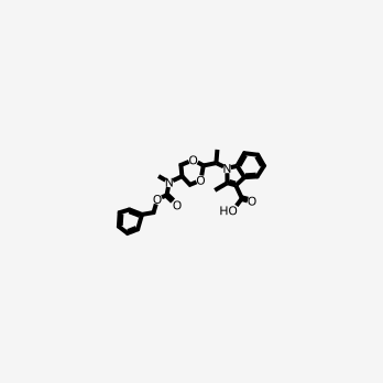 Cc1c(C(=O)O)c2ccccc2n1C(C)C1OCC(N(C)C(=O)OCc2ccccc2)CO1